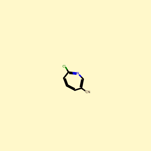 N#CC1=CN=C(Cl)C=C=C1